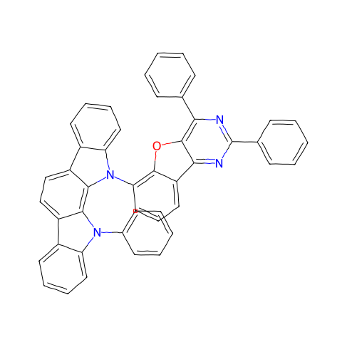 c1ccc(-c2nc(-c3ccccc3)c3oc4c(-n5c6ccccc6c6ccc7c8ccccc8n(-c8ccccc8)c7c65)cccc4c3n2)cc1